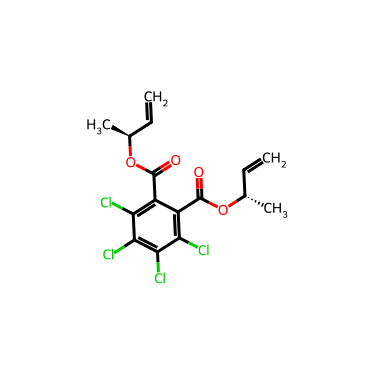 C=C[C@H](C)OC(=O)c1c(Cl)c(Cl)c(Cl)c(Cl)c1C(=O)O[C@@H](C)C=C